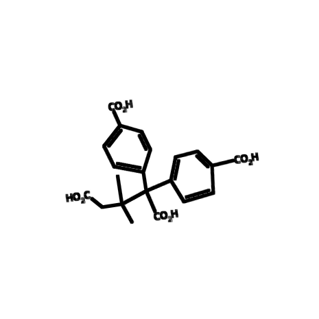 CC(C)(CC(=O)O)C(C(=O)O)(c1ccc(C(=O)O)cc1)c1ccc(C(=O)O)cc1